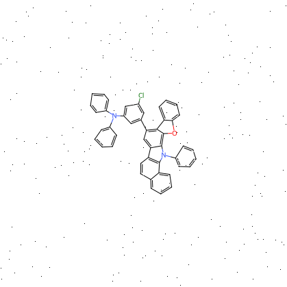 Clc1cc(-c2cc3c4ccc5ccccc5c4n(-c4ccccc4)c3c3oc4ccccc4c23)cc(N(c2ccccc2)c2ccccc2)c1